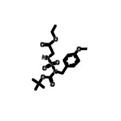 CCOC(=O)CNS(=O)(=O)N(Cc1ccc(OC)cc1)C(=O)OC(C)(C)C